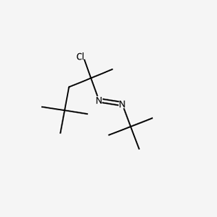 CC(C)(C)CC(C)(Cl)N=NC(C)(C)C